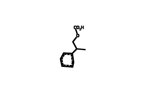 CC(COC(=O)O)c1ccccc1